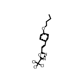 CCCCOc1ccc(C=Cc2nnc(C(Cl)(Cl)Cl)o2)cc1